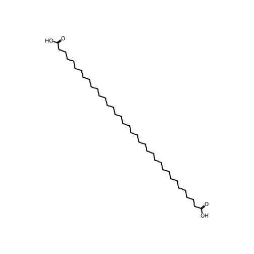 O=C(O)CCCCCCCCCCCCCCCCCCCCCCCCCCCCCCCCCCCC(=O)O